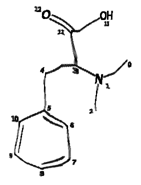 CN(C)C(Cc1ccccc1)C(=O)O